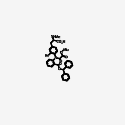 CCc1cc(CC(NC(C)=O)C(=O)O)ccc1N(C(=O)C(=O)OC(C)(C)C)c1ccccc1C(=O)OC(c1ccccc1)c1ccccc1